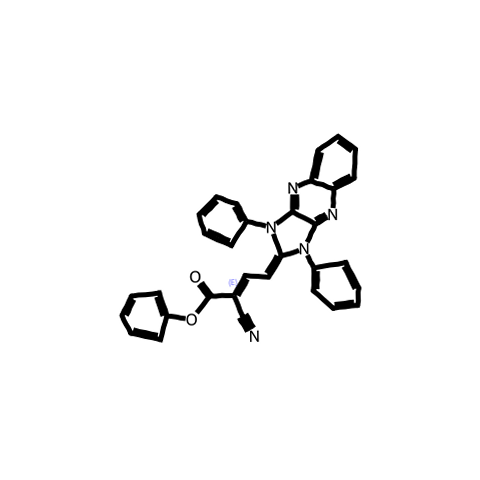 N#C/C(=C\C=C1N(c2ccccc2)c2nc3ccccc3nc2N1c1ccccc1)C(=O)Oc1ccccc1